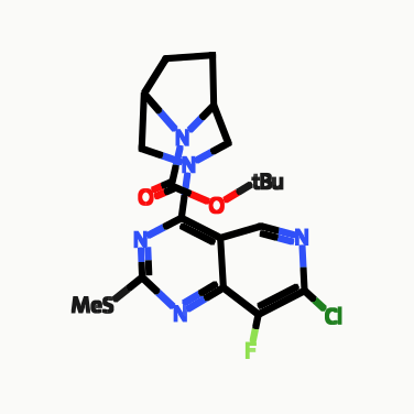 CSc1nc(N2CC3CCC(C2)N3C(=O)OC(C)(C)C)c2cnc(Cl)c(F)c2n1